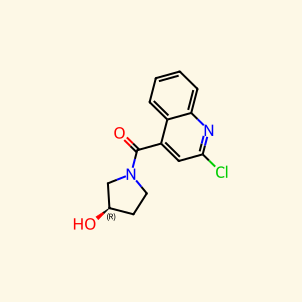 O=C(c1cc(Cl)nc2ccccc12)N1CC[C@@H](O)C1